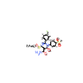 COOSc1nc(-c2ccc(F)cc2)n(-c2ccc(S(C)(=O)=O)cc2)c(=O)c1C(N)=O